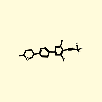 CC1CCC(c2ccc(-c3cc(F)c(C#CC(F)(F)F)c(F)c3)cc2)CO1